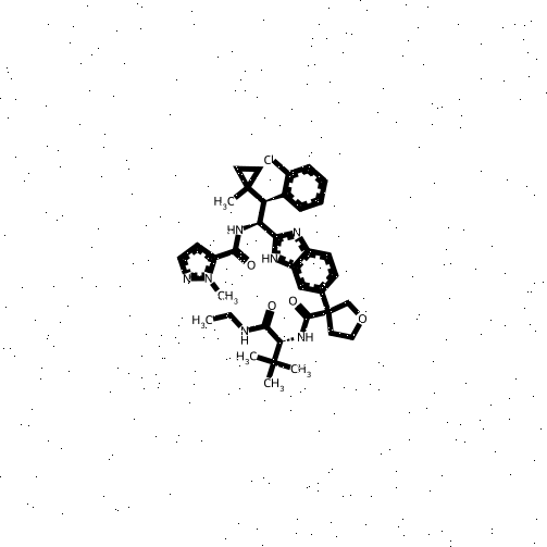 CCNC(=O)[C@H](NC(=O)C1(c2ccc3nc([C@@H](NC(=O)c4ccnn4C)[C@H](c4ccccc4Cl)C4(C)CC4)[nH]c3c2)CCOC1)C(C)(C)C